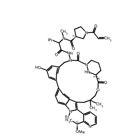 C=CC(=O)N1CC[C@H](C(=O)N(C)C(C(=O)NN2Cc3cc(O)cc(c3)-c3ccc4c(c3)c(c(-c3cccnc3[C@H](C)OC)n4CC)CC(C)(C)COC(=O)[C@@H]3CCCN(N3)C2=O)C(C)C)C1